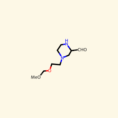 COCOCCN1CCNC(C=O)C1